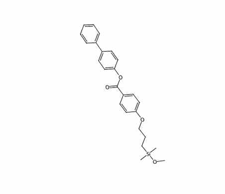 CO[Si](C)(C)CCCOc1ccc(C(=O)Oc2ccc(-c3ccccc3)cc2)cc1